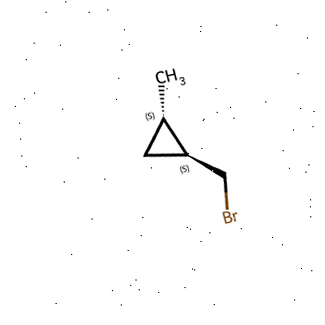 C[C@H]1C[C@@H]1CBr